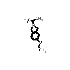 CCOc1ccc2c(c1)CN(C(C)C)C2